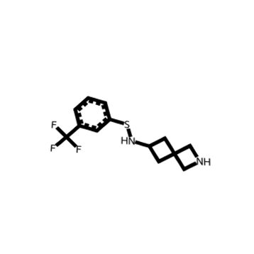 FC(F)(F)c1cccc(SNC2CC3(CNC3)C2)c1